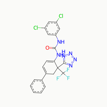 O=C(NC1=CC=C(c2ccccc2)CC1(c1nnn[nH]1)C(F)(F)F)Nc1cc(Cl)cc(Cl)c1